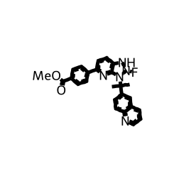 COC(=O)c1ccc(-c2ccc3c(n2)N(C(C)(C)c2ccc4ncccc4c2)N(F)N3)cc1